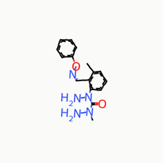 Cc1cccc(N(N)C(=O)N(C)N)c1/C=N\Oc1ccccc1